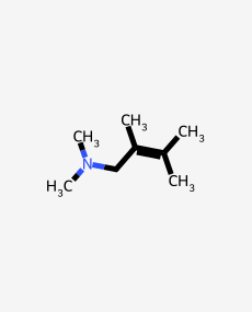 CC(C)=C(C)CN(C)C